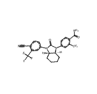 Cc1cc(N2C(=O)N(c3ccc(C#N)c(C(F)(F)F)c3)[C@H]3CCCC[C@@H]32)ccc1C(N)=O